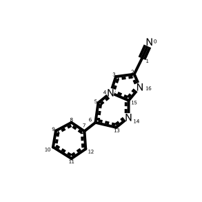 N#Cc1cn2cc(-c3ccccc3)cnc2n1